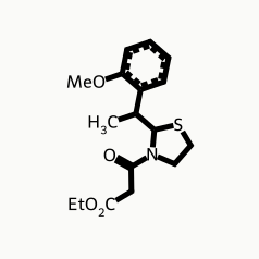 CCOC(=O)CC(=O)N1CCSC1C(C)c1ccccc1OC